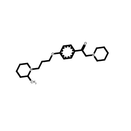 CC1CCCCN1CCCOc1ccc(C(=O)CN2CCCCC2)cc1